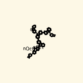 CCCCCCCCC1(CCCCCCCC)c2cc(-c3ccc4c(c3)CC4)ccc2-c2ccc(-n3c4ccccc4c4cc(-c5ccc6c(c5)c5cc(-c7ccc8c(c7)c7ccccc7n8-c7ccc8c(c7)CC8)ccc5n6-c5ccc6oc7ccccc7c6c5)ccc43)cc21